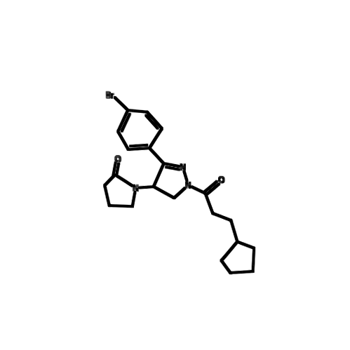 O=C(CCC1CCCC1)N1CC(N2CCCC2=O)C(c2ccc(Br)cc2)=N1